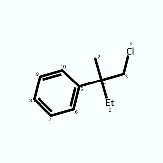 CCC(C)(CCl)c1cc[c]cc1